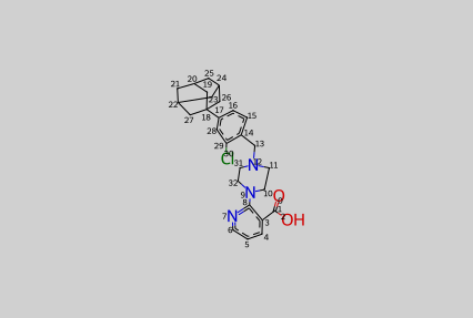 O=C(O)c1cccnc1N1CCN(Cc2ccc(C34CC5CC(CC(C5)C3)C4)cc2Cl)CC1